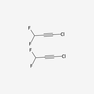 FC(F)C#CCl.FC(F)C#CCl